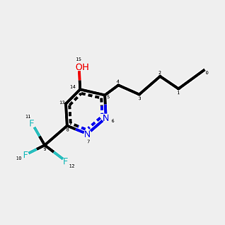 CCCCCc1nnc(C(F)(F)F)cc1O